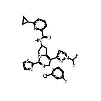 O=C(N[C@H]1CC2=C(c3ccn(C(F)F)n3)[C@H](c3ccc(F)cc3Cl)N=C(c3nccs3)N2C1)c1cccc(C2CC2)n1